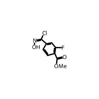 COC(=O)c1ccc(/C(Cl)=N\O)cc1F